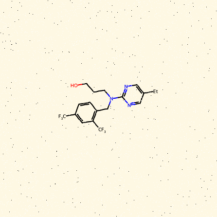 CCc1cnc(N(CCCO)Cc2ccc(C(F)(F)F)cc2C(F)(F)F)nc1